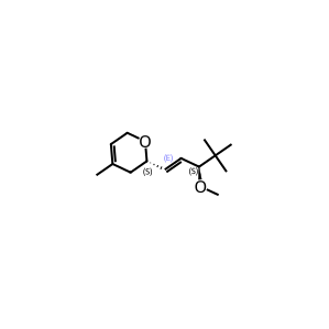 CO[C@@H](/C=C/[C@@H]1CC(C)=CCO1)C(C)(C)C